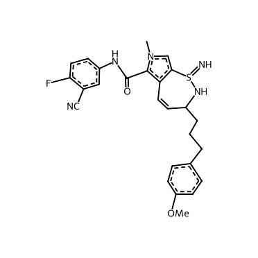 COc1ccc(CCCC2C=Cc3c(cn(C)c3C(=O)Nc3ccc(F)c(C#N)c3)S(=N)N2)cc1